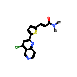 CCN(CC)C(=O)C=Cc1ccc(-c2cc(Cl)c3cnccc3n2)s1